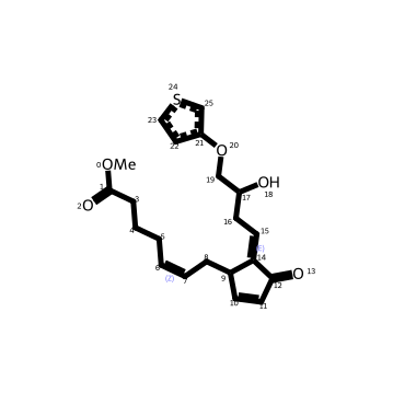 COC(=O)CCC/C=C\CC1C=CC(=O)/C1=C/CC(O)COc1ccsc1